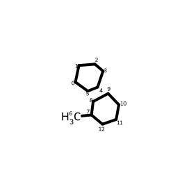 C1CCCCC1.CC1CCCCC1